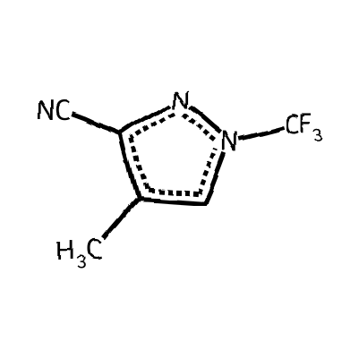 Cc1cn(C(F)(F)F)nc1C#N